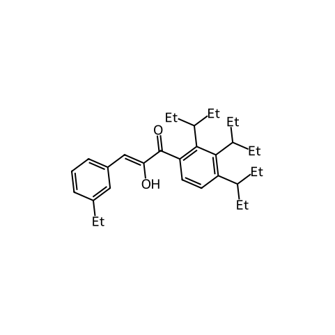 CCc1cccc(C=C(O)C(=O)c2ccc(C(CC)CC)c(C(CC)CC)c2C(CC)CC)c1